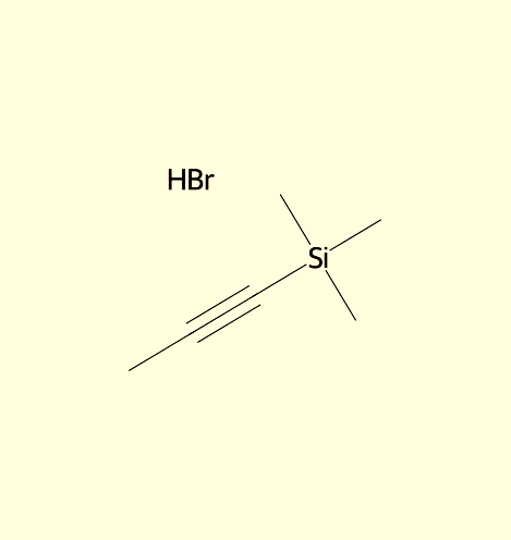 Br.CC#C[Si](C)(C)C